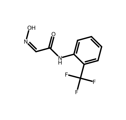 O=C(/C=N\O)Nc1ccccc1C(F)(F)F